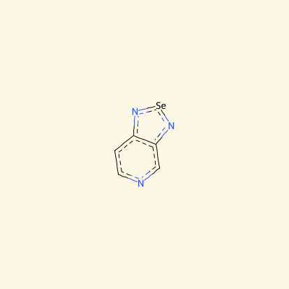 c1cc2n[se]nc2cn1